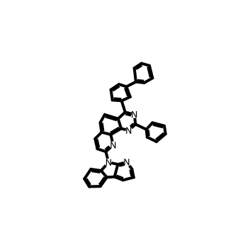 c1ccc(-c2cccc(-c3nc(-c4ccccc4)nc4c3ccc3ccc(-n5c6ccccc6c6cccnc65)nc34)c2)cc1